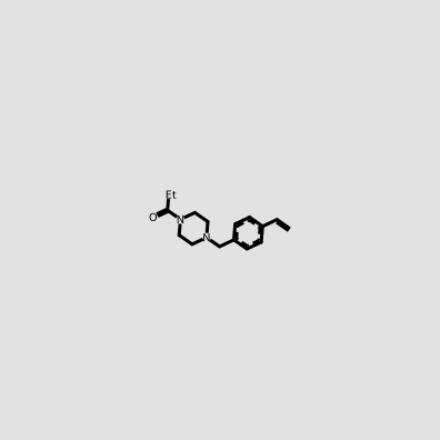 C=Cc1ccc(CN2CCN(C(=O)CC)CC2)cc1